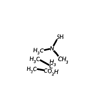 CC.CC(=O)O.CN(C)S